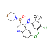 O=C(O)c1cc(Cl)c(F)cc1Nc1c([S+]([O-])N2CCSCC2)cnc2ccc(Cl)cc12